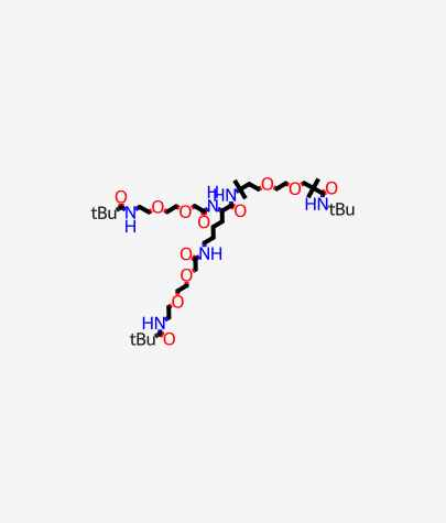 CC(C)(C)NC(=O)C(C)(C)COCCOCCC(C)(C)NC(=O)C(CCCCNC(=O)COCCOCCNC(=O)C(C)(C)C)NC(=O)COCCOCCNC(=O)C(C)(C)C